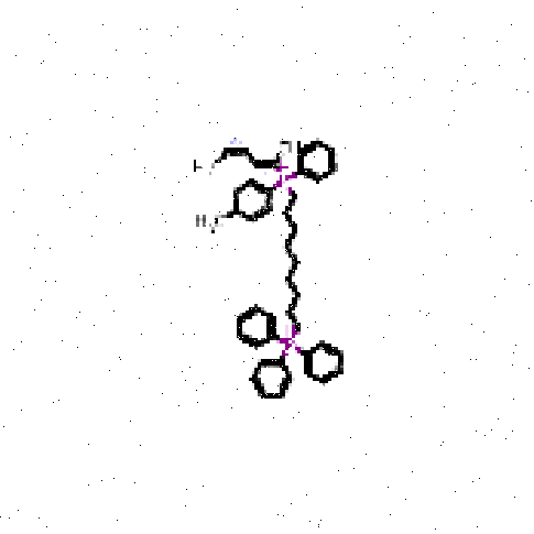 C/C=C\C=C(/C)[PH](CCCCCCCCC[PH](c1ccccc1)(c1ccccc1)c1ccccc1)(C1=CCC(C)C=C1)c1ccccc1